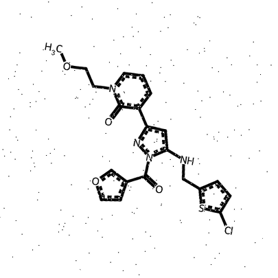 COCCn1cccc(-c2cc(NCc3ccc(Cl)s3)n(C(=O)c3ccoc3)n2)c1=O